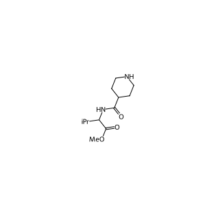 COC(=O)C(NC(=O)C1CCNCC1)C(C)C